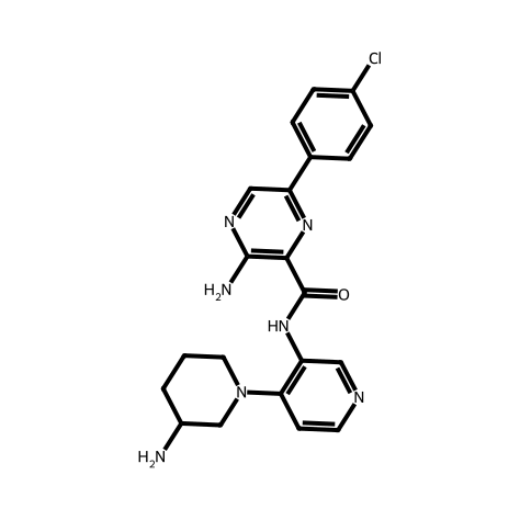 Nc1ncc(-c2ccc(Cl)cc2)nc1C(=O)Nc1cnccc1N1CCCC(N)C1